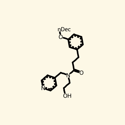 CCCCCCCCCCOc1cccc(CCC(=O)N(CCO)Cc2ccncc2)c1